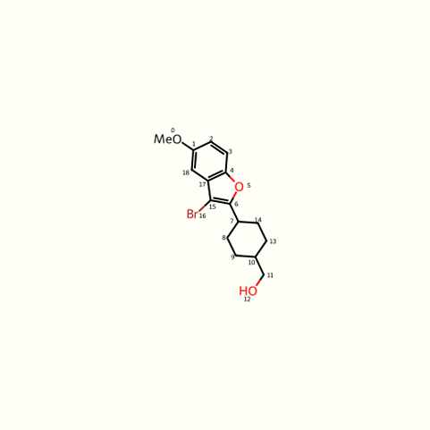 COc1ccc2oc(C3CCC(CO)CC3)c(Br)c2c1